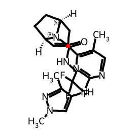 Cc1cnc(Nc2cn(C)nc2C)nc1C1=C[C@H]2CC[C@@H](C1)N2C(=O)NCC(F)(F)F